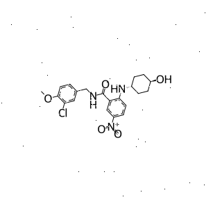 COc1ccc(CNC(=O)c2cc([N+](=O)[O-])ccc2N[C@H]2CC[C@H](O)CC2)cc1Cl